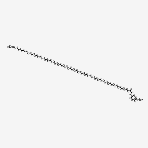 CCCCCCCCCCCCCCCCCCOCCOCCOCCOCCOCCOCCOCCOCCOCCOCCOCCOCCOCCOCCOCCOCCOCCOCCOCCOCCOC(=O)CCN1CC[N+](C)(CCCCCC)CC1